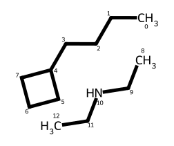 CCCCC1CCC1.CCNCC